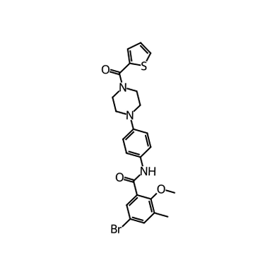 COc1c(C)cc(Br)cc1C(=O)Nc1ccc(N2CCN(C(=O)c3cccs3)CC2)cc1